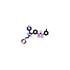 Cc1cccc(NC(=O)N(O)c2cccc(-c3sc(CCN4CCOCC4)nc3-c3ccncc3)c2)c1